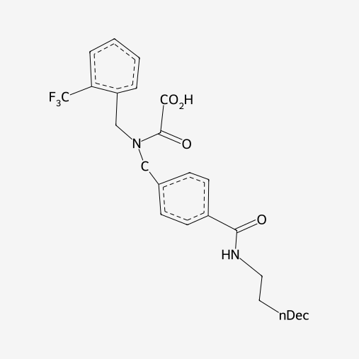 CCCCCCCCCCCCNC(=O)c1ccc(CN(Cc2ccccc2C(F)(F)F)C(=O)C(=O)O)cc1